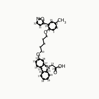 Cc1ccc(OCCCCCOc2ccc3c4ccccc4n(CC(=O)O)c3c2)c(-c2ccno2)c1